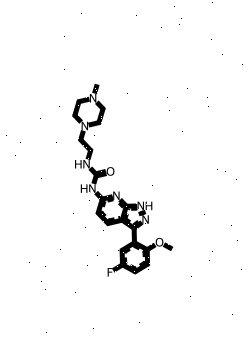 COc1ccc(F)cc1-c1n[nH]c2nc(NC(=O)NCCN3CCN(C)CC3)ccc12